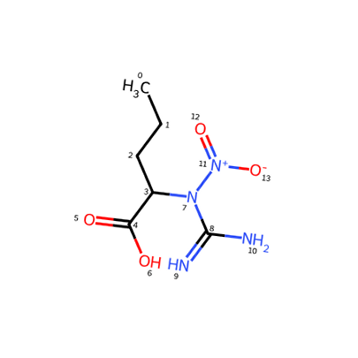 CCCC(C(=O)O)N(C(=N)N)[N+](=O)[O-]